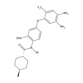 CC(C)N(c1ccc(Oc2cc(N)c(N)cc2C(F)(F)F)cc1C=O)C(=O)[C@H]1CC[C@H](C)CC1